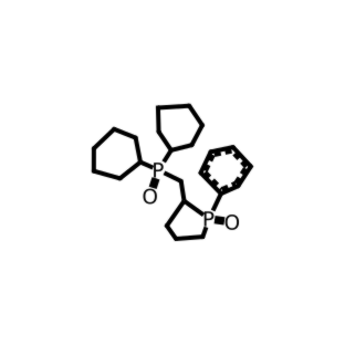 O=P1(c2ccccc2)CCCC1CP(=O)(C1CCCCC1)C1CCCCC1